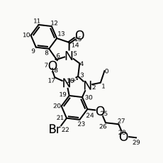 CCn1c(CN2C(=O)c3ccccc3C2=O)[n+](CC)c2cc(Br)cc(OCCOC)c21